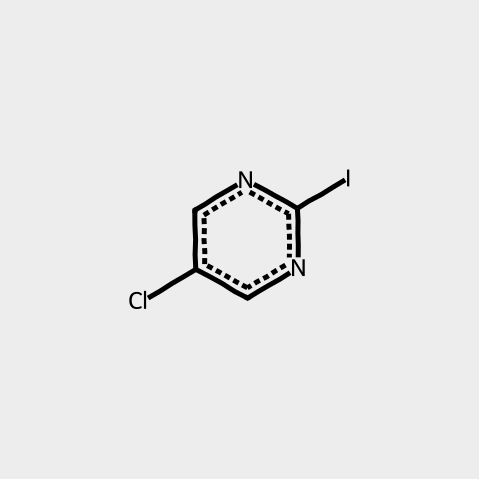 Clc1cnc(I)nc1